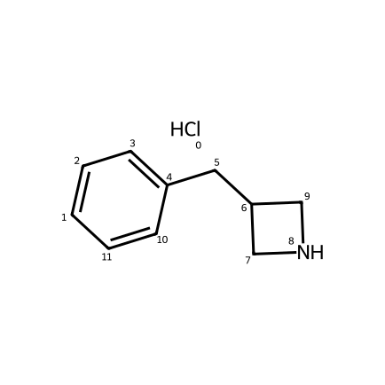 Cl.c1ccc(CC2CNC2)cc1